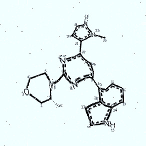 C[C@@H]1COCCN1c1nc(-c2cccc3[nH]ccc23)cc(-c2ccnn2C)n1